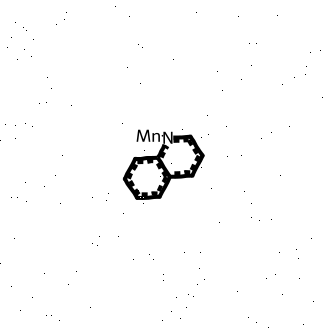 [Mn].c1ccc2ncccc2c1